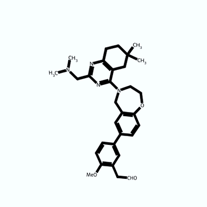 COc1ccc(-c2ccc3c(c2)CN(c2nc(CN(C)C)nc4c2CC(C)(C)CC4)CCO3)cc1CC=O